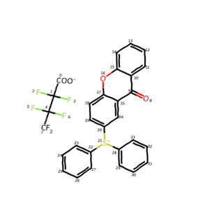 O=C([O-])C(F)(F)C(F)(F)C(F)(F)F.O=c1c2ccccc2oc2ccc([S+](c3ccccc3)c3ccccc3)cc12